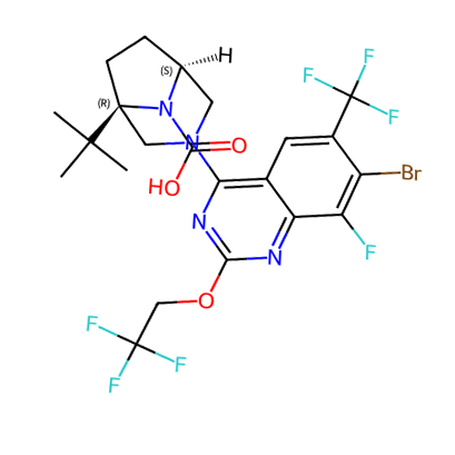 CC(C)(C)[C@]12CC[C@@H](CN(c3nc(OCC(F)(F)F)nc4c(F)c(Br)c(C(F)(F)F)cc34)C1)N2C(=O)O